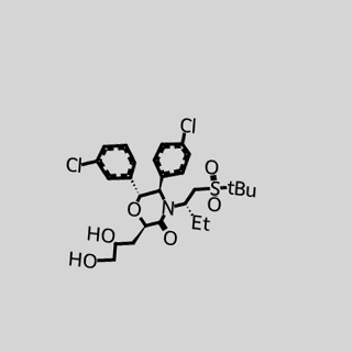 CC[C@@H](CS(=O)(=O)C(C)(C)C)N1C(=O)[C@@H](C[C@@H](O)CO)O[C@H](c2cccc(Cl)c2)[C@H]1c1ccc(Cl)cc1